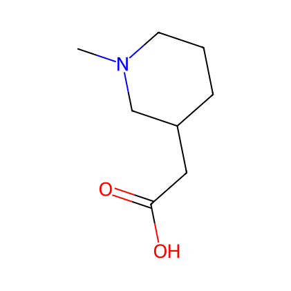 CN1CCCC(CC(=O)O)C1